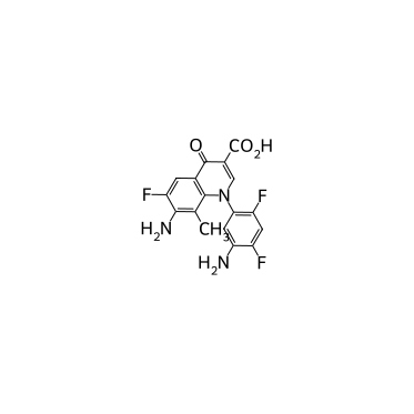 Cc1c(N)c(F)cc2c(=O)c(C(=O)O)cn(-c3cc(N)c(F)cc3F)c12